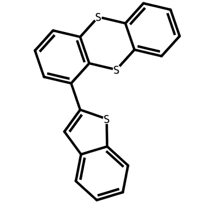 c1ccc2c(c1)Sc1cccc(-c3cc4ccccc4s3)c1S2